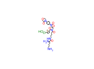 Cl.NCCCC[C@H](N)C(=O)NCCCCC(=O)N(C[C@H]1CN(c2ccc(N3CCOCC3=O)cc2)C(=O)O1)C(=O)c1ccc(Cl)s1